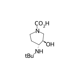 CC(C)(C)N[C@@H]1CCN(C(=O)O)C[C@H]1O